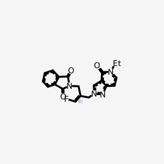 CCn1ccc2nn(C/C(=C/F)CN3C(=O)c4ccccc4C3=O)cc2c1=O